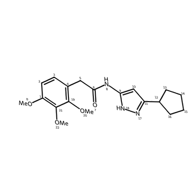 COc1ccc(CC(=O)Nc2cc(C3CCCC3)n[nH]2)c(OC)c1OC